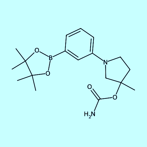 CC1(OC(N)=O)CCN(c2cccc(B3OC(C)(C)C(C)(C)O3)c2)C1